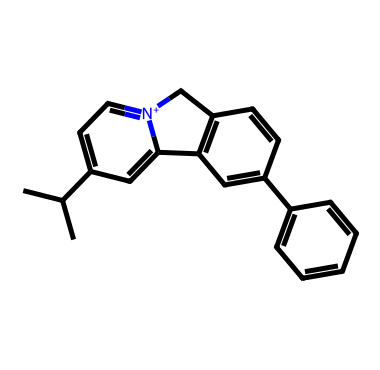 CC(C)c1cc[n+]2c(c1)-c1cc(-c3ccccc3)ccc1C2